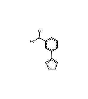 OB(O)c1cccc(-c2ccco2)c1